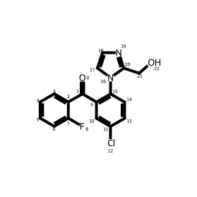 O=C(c1ccccc1F)c1cc(Cl)ccc1-n1ccnc1CO